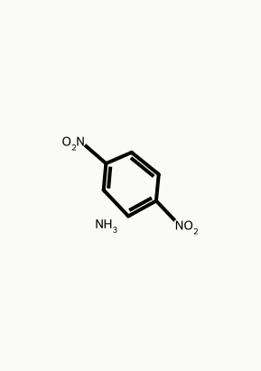 N.O=[N+]([O-])c1ccc([N+](=O)[O-])cc1